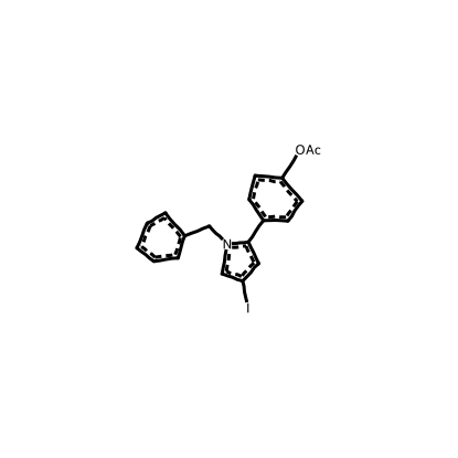 CC(=O)Oc1ccc(-c2cc(I)cn2Cc2ccccc2)cc1